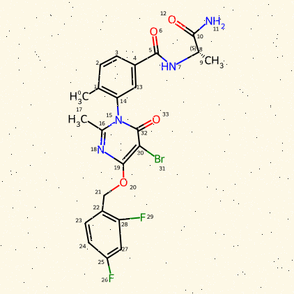 Cc1ccc(C(=O)N[C@@H](C)C(N)=O)cc1-n1c(C)nc(OCc2ccc(F)cc2F)c(Br)c1=O